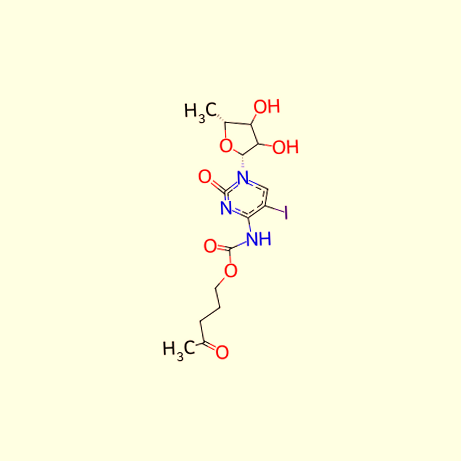 CC(=O)CCCOC(=O)Nc1nc(=O)n([C@@H]2O[C@H](C)C(O)C2O)cc1I